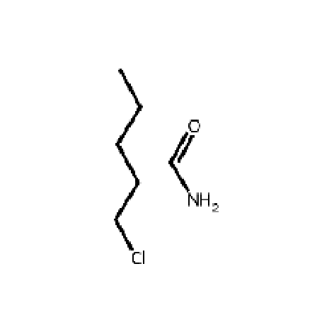 CCCCCCl.NC=O